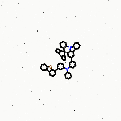 c1ccc(N(c2cccc(-c3cc4c5c(c3)c3ccccc3n5-c3ccccc3C43c4ccccc4-c4ccccc43)c2)c2cccc(-c3cccc4c3sc3ccccc34)c2)cc1